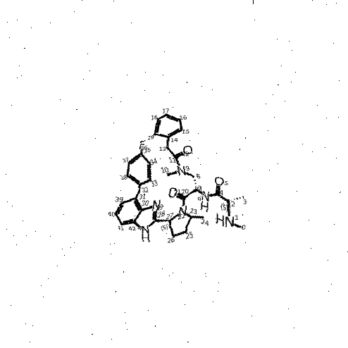 CN[C@@H](C)C(=O)N[C@@H](CN(C)C(=O)Cc1ccccc1)C(=O)N1C(C)CC[C@H]1c1nc2c(-c3ccc(F)cc3)cccc2[nH]1